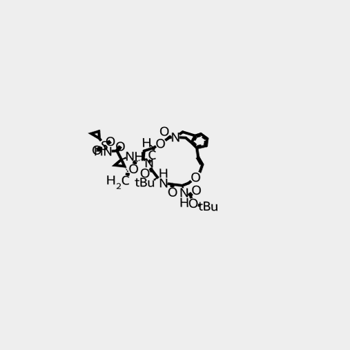 C=C[C@@H]1C[C@]1(NC(=O)[C@@H]1C[C@@H]2CN1C(=O)[C@H](C(C)(C)C)NC(=O)[C@H](NC(=O)OC(C)(C)C)COC/C=C/c1cccc3c1CN(C3)C(=O)O2)C(=O)NS(=O)(=O)C1CC1